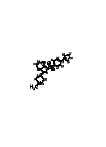 CN1CC=C(c2cn(S(=O)(=O)c3ccc(N4CCCC4)cc3)c3ncccc23)CC1